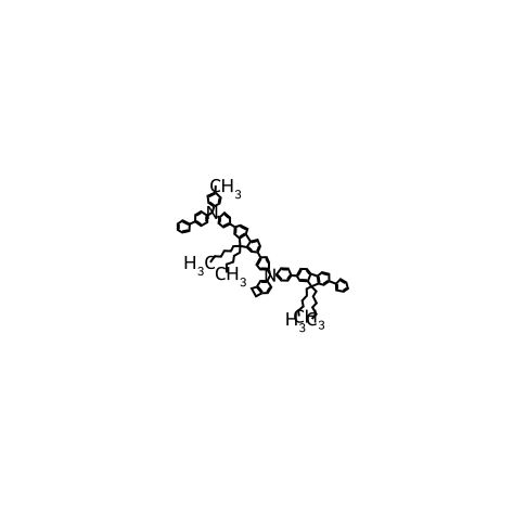 CCCCCCC1(CCCCCC)c2cc(-c3ccccc3)ccc2-c2ccc(-c3ccc(N(c4ccc(-c5ccc6c(c5)C(CCCCCC)(CCCCCC)c5cc(-c7ccc(N(c8ccc(C)cc8)c8ccc(-c9ccccc9)cc8)cc7)ccc5-6)cc4)c4ccc5c(c4)CC5)cc3)cc21